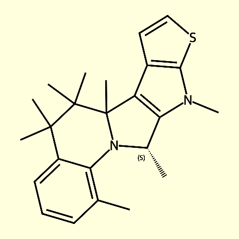 Cc1cccc2c1N1[C@@H](C)c3c(c4ccsc4n3C)C1(C)C(C)(C)C2(C)C